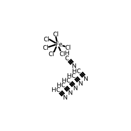 C#N.C#N.C#N.C#N.C#N.C#N.[Cl][Fe]([Cl])([Cl])([Cl])([Cl])[Cl]